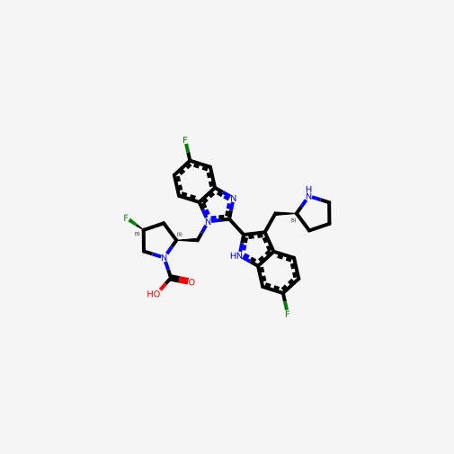 O=C(O)N1C[C@@H](F)C[C@H]1Cn1c(-c2[nH]c3cc(F)ccc3c2C[C@@H]2CCCN2)nc2cc(F)ccc21